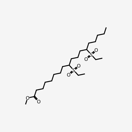 CCCCCC(CCCC(CCCCCCCC(=O)OC)S(=O)(=O)CC)S(=O)(=O)CC